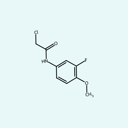 COc1ccc(NC(=O)CCl)cc1F